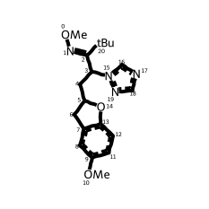 CON=C(C(CC1Cc2cc(OC)ccc2O1)n1cncn1)C(C)(C)C